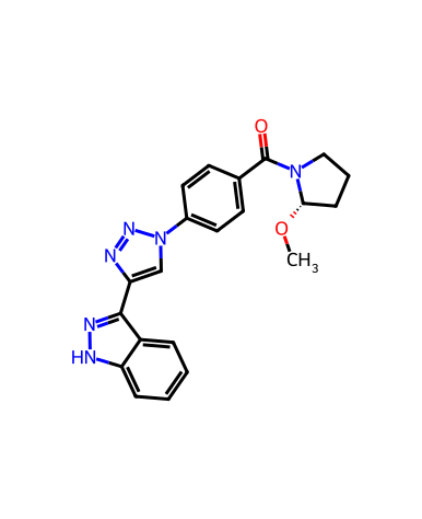 CO[C@H]1CCCN1C(=O)c1ccc(-n2cc(-c3n[nH]c4ccccc34)nn2)cc1